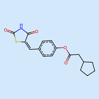 O=C(CC1CCCC1)Oc1ccc(C=C2SC(=O)NC2=O)cc1